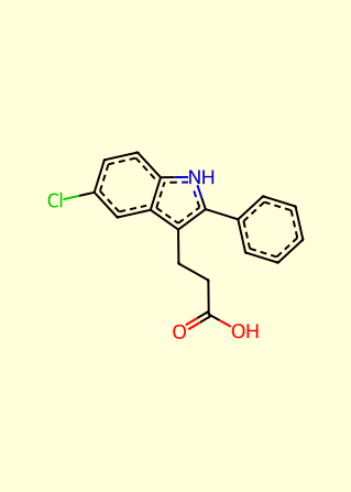 O=C(O)CCc1c(-c2ccccc2)[nH]c2ccc(Cl)cc12